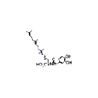 CC(C)=CCC/C(C)=C/CC/C(C)=C/CSC[C@H](NC(=O)Cc1ccc(O)c(O)c1)C(=O)O